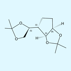 CC1(C)OC[C@H]([C@@H]2CC[C@H]3OC(C)(C)O[C@@H]23)O1